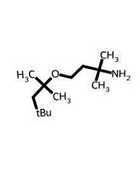 CC(C)(C)CC(C)(C)OCCC(C)(C)N